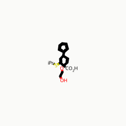 CC(C)SC1=CC(c2ccccc2)C=CC1(OCCO)C(=O)O